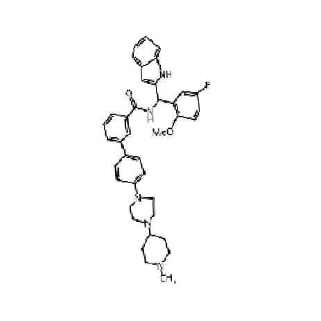 COc1ccc(F)cc1C(NC(=O)c1cccc(-c2ccc(N3CCN(C4CCN(C)CC4)CC3)cc2)c1)c1cc2ccccc2[nH]1